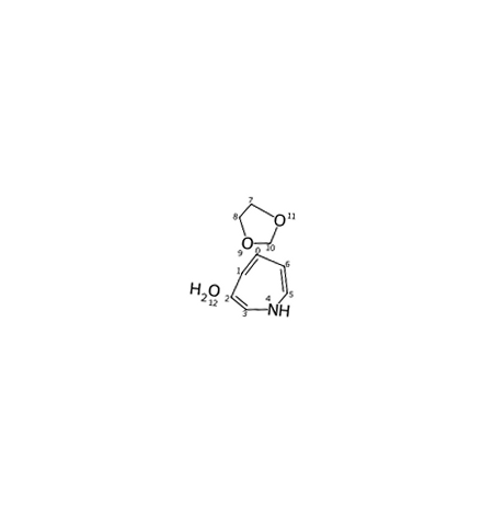 C1=CC=CNC=C1.C1COCO1.O